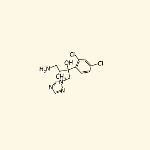 CC(CN)C(O)(Cn1cncn1)c1ccc(Cl)cc1Cl